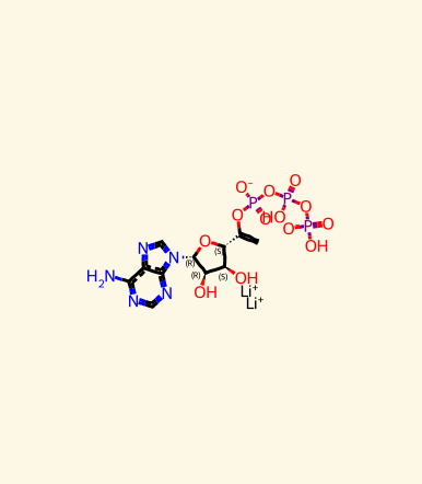 C=C(OP(=O)([O-])OP(=O)(O)OP(=O)([O-])O)[C@H]1O[C@@H](n2cnc3c(N)ncnc32)[C@H](O)[C@@H]1O.[Li+].[Li+]